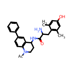 CC(=O)N1CCC(NC(=O)C(N)Cc2c(C)cc(O)cc2C)c2cc(-c3ccccc3)ccc21